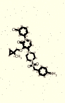 CC1(COc2c(N3CCN(S(=O)(=O)Cc4ccc(N)cc4)CC3)cnn(-c3cccc(Cl)c3)c2=O)CC1